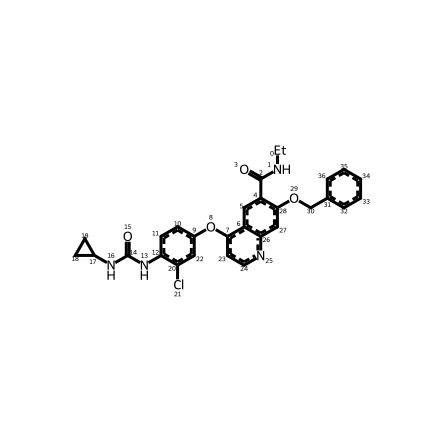 CCNC(=O)c1cc2c(Oc3ccc(NC(=O)NC4CC4)c(Cl)c3)ccnc2cc1OCc1ccccc1